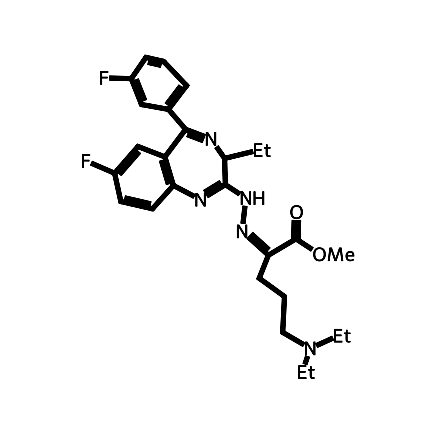 CCC1N=C(c2cccc(F)c2)c2cc(F)ccc2N=C1NN=C(CCCN(CC)CC)C(=O)OC